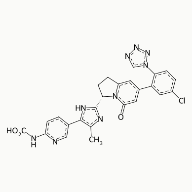 Cc1nc([C@@H]2CCc3cc(-c4cc(Cl)ccc4-n4cnnn4)cc(=O)n32)[nH]c1-c1ccc(NC(=O)O)nc1